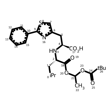 CC(C)C[C@H](N[C@@H](Cc1csc(-c2ccccc2)n1)C(=O)O)C(=O)OC(C)OC(=O)C(C)(C)C